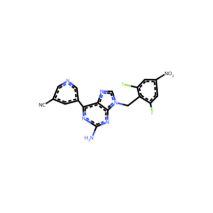 N#Cc1cncc(-c2nc(N)nc3c2ncn3Cc2c(F)cc([N+](=O)[O-])cc2F)c1